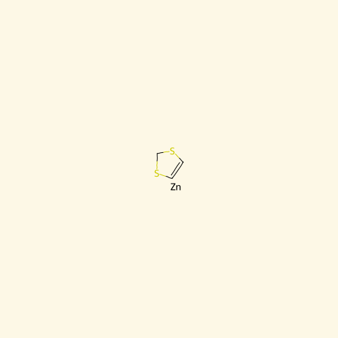 C1=CSCS1.[Zn]